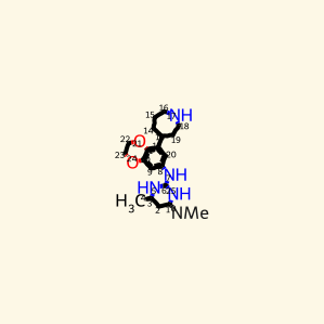 CNC1CC(C)NC(Nc2cc3c(c(C4CCCNCC4)c2)OCCO3)N1